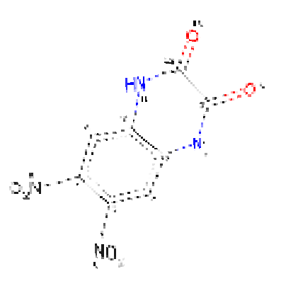 O=C1[N]c2cc([N+](=O)[O-])c([N+](=O)[O-])cc2NC1=O